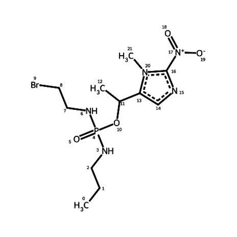 CCCNP(=O)(NCCBr)OC(C)c1cnc([N+](=O)[O-])n1C